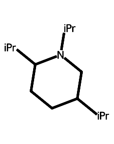 CC(C)C1CCC(C(C)C)N(C(C)C)C1